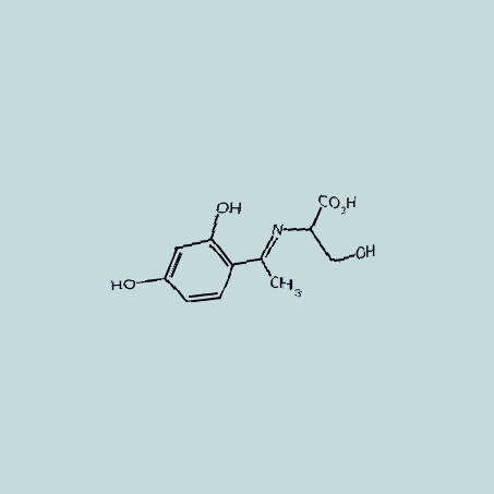 CC(=NC(CO)C(=O)O)c1ccc(O)cc1O